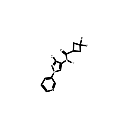 CCN(C(=O)C1CC(F)(F)C1)c1cn(-c2cccnc2)nc1Cl